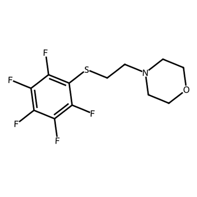 Fc1c(F)c(F)c(SCCN2CCOCC2)c(F)c1F